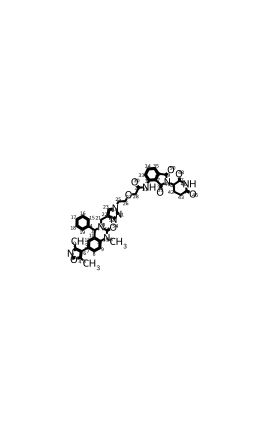 Cc1noc(C)c1-c1ccc2c(c1)C(c1ccccc1)N(Cc1cn(CCOCC(=O)Nc3cccc4c3C(=O)N(C3CCC(=O)NC3=O)C4=O)nn1)C(=O)N2C